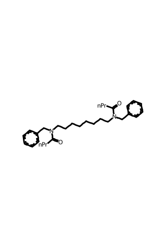 CCCC(=O)N(CCCCCCCCN(Cc1ccccc1)C(=O)CCC)Cc1ccccc1